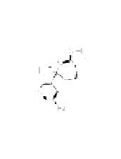 C[C@@]1(c2cncc(Br)c2)CCSC(N)=N1